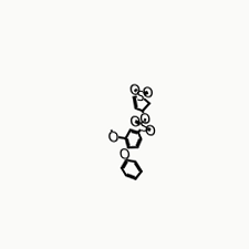 COc1cc(S(=O)(=O)OC2C=CS(=O)(=O)C2)ccc1Oc1ccccc1